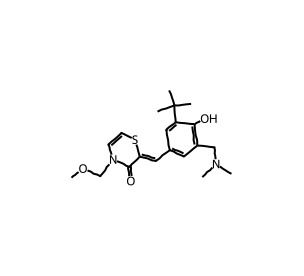 COCN1C=CS/C(=C\c2cc(CN(C)C)c(O)c(C(C)(C)C)c2)C1=O